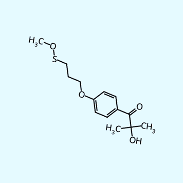 COSCCCOc1ccc(C(=O)C(C)(C)O)cc1